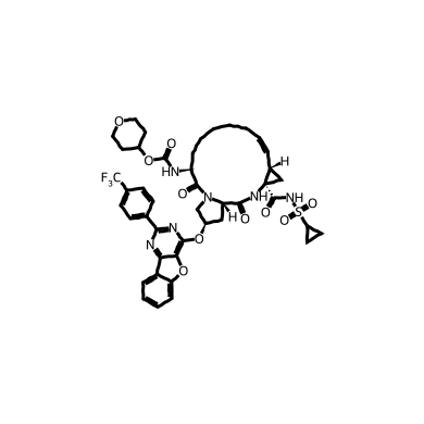 O=C(N[C@H]1CCCCC/C=C\[C@@H]2C[C@@]2(C(=O)NS(=O)(=O)C2CC2)NC(=O)[C@@H]2C[C@@H](Oc3nc(-c4ccc(C(F)(F)F)cc4)nc4c3oc3ccccc34)CN2C1=O)OC1CCOCC1